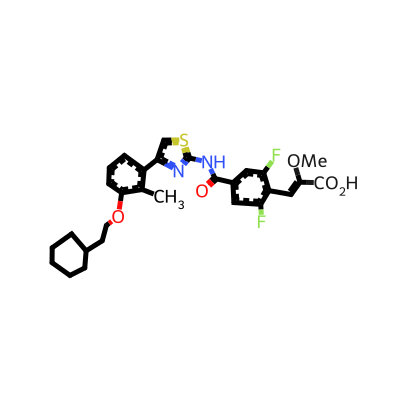 CO/C(=C\c1c(F)cc(C(=O)Nc2nc(-c3cccc(OCCC4CCCCC4)c3C)cs2)cc1F)C(=O)O